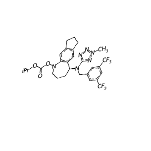 CC(C)OC(=O)ON1CCC[C@H](N(Cc2cc(C(F)(F)F)cc(C(F)(F)F)c2)c2nnn(C)n2)c2cc3c(cc21)CCC3